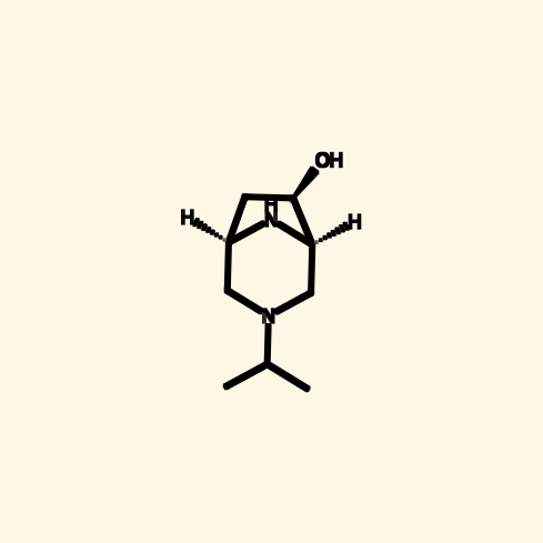 CC(C)N1C[C@H]2C[C@@H](O)[C@@H](C1)N2